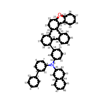 c1ccc(-c2cccc(N(c3cccc(-c4cccc5c6ccc7oc8ccccc8c7c6c6ccccc6c45)c3)c3ccc4ccccc4c3)c2)cc1